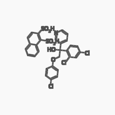 O=S(=O)(O)c1ccc2ccccc2c1S(=O)(=O)O.OC(COc1ccc(Cl)cc1)(c1cccnc1)c1ccc(Cl)cc1Cl